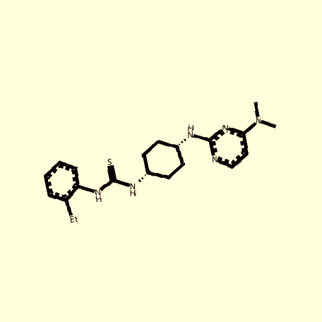 CCc1ccccc1NC(=S)N[C@H]1CC[C@@H](Nc2nccc(N(C)C)n2)CC1